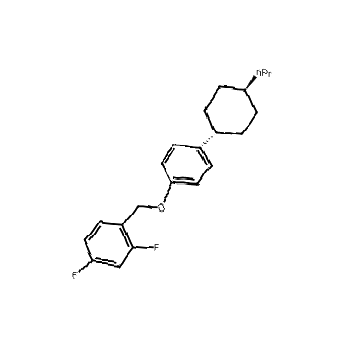 CCC[C@H]1CC[C@H](c2ccc(OCc3ccc(F)cc3F)cc2)CC1